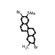 CSc1cc2c(ccc3c4cc(C)c(Br)cc4ccc23)cc1Br